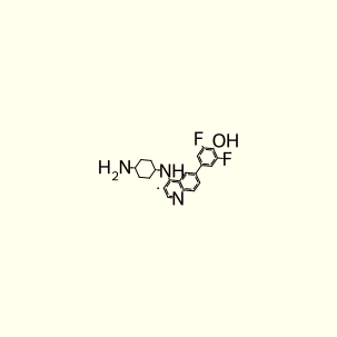 N[C@H]1CC[C@@H](Nc2[c]cnc3ccc(-c4cc(F)c(O)c(F)c4)cc23)CC1